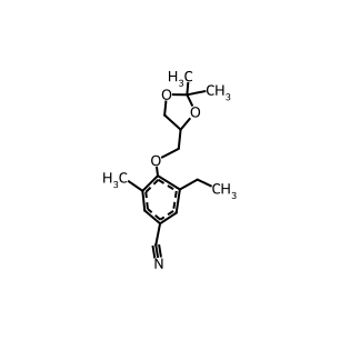 CCc1cc(C#N)cc(C)c1OCC1COC(C)(C)O1